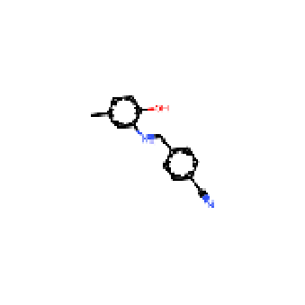 Cc1ccc(O)c(/N=C/c2ccc(C#N)cc2)c1